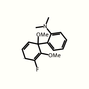 COC1=C(F)[CH]C=CC1(OC)c1ccccc1N(C)C